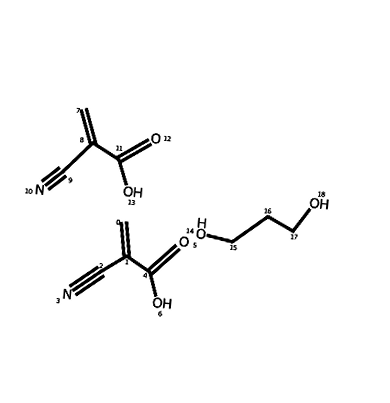 C=C(C#N)C(=O)O.C=C(C#N)C(=O)O.OCCCO